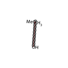 COC(=O)C(C)=COCCOCCOCCOCCOCCOCCOCCOCCOCCOCCOCCOCCOCCOCCO